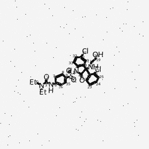 CCN(CC)C(=O)Nc1ccc(S(=O)(=O)N2C(=O)C(NCCO)(c3ccccc3Cl)c3cc(Cl)ccc32)cc1